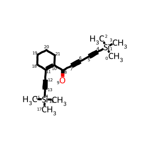 C[Si](C)(C)C#CC#CC(=O)C1=C(C#C[Si](C)(C)C)CCCC1